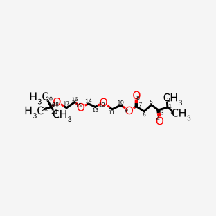 CC(C)C(=O)CCC(=O)OCCOCCOCCOC(C)(C)C